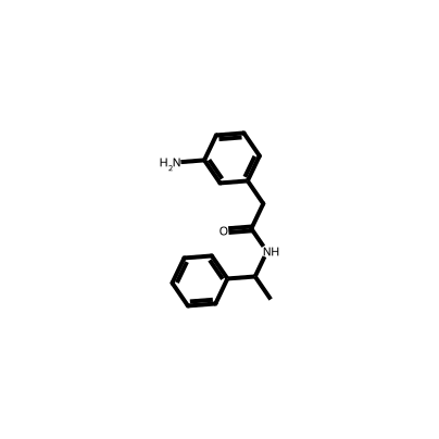 CC(NC(=O)Cc1cccc(N)c1)c1ccccc1